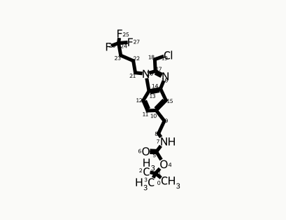 CC(C)(C)OC(=O)NCCc1ccc2c(c1)nc(CCl)n2CCCC(F)(F)F